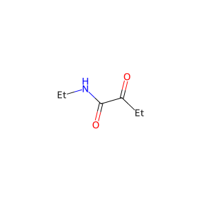 CCNC(=O)C(=O)CC